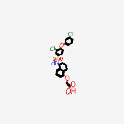 O=C(O)COc1cccc2c1CCC[C@H]2NS(=O)(=O)c1ccc(Oc2cccc(Cl)c2)c(Cl)c1